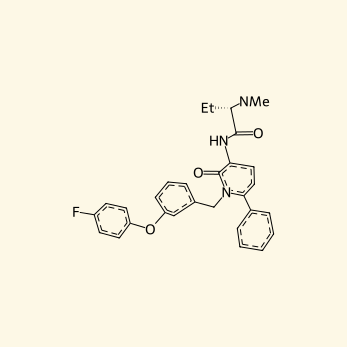 CC[C@H](NC)C(=O)Nc1ccc(-c2ccccc2)n(Cc2cccc(Oc3ccc(F)cc3)c2)c1=O